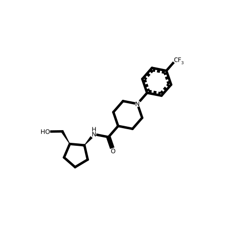 O=C(N[C@H]1CCC[C@H]1CO)C1CCN(c2ccc(C(F)(F)F)cc2)CC1